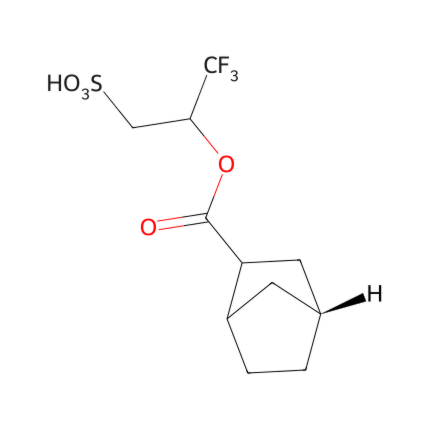 O=C(OC(CS(=O)(=O)O)C(F)(F)F)C1C[C@@H]2CCC1C2